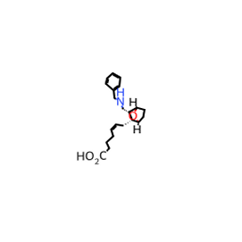 O=C(O)CCC/C=C\C[C@@H]1[C@H](CNCc2ccccc2)[C@@H]2CC[C@H]1O2